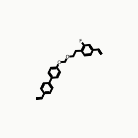 C=Cc1ccc(-c2ccc(OCOCCc3ccc(C=C)cc3F)cc2)cc1